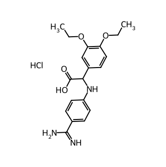 CCOc1ccc(C(Nc2ccc(C(=N)N)cc2)C(=O)O)cc1OCC.Cl